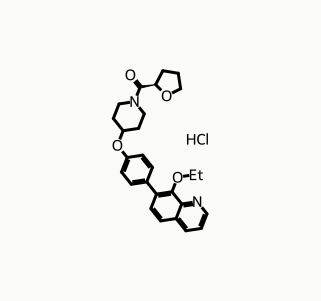 CCOc1c(-c2ccc(OC3CCN(C(=O)[C@H]4CCCO4)CC3)cc2)ccc2cccnc12.Cl